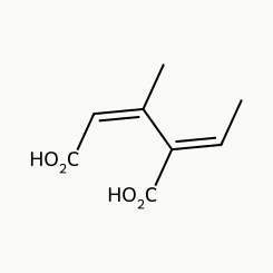 C/C=C(C(=O)O)\C(C)=C/C(=O)O